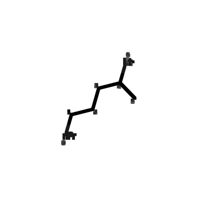 [CH2]CCCCCC(C)[CH]C